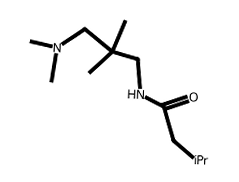 CC(C)CC(=O)NCC(C)(C)CN(C)C